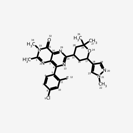 Cc1nc2c(-c3ccc(Cl)cc3F)nc(C3CC(c4cnn(C)c4)OC(C)(C)C3)nc2c(=O)n1C